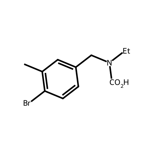 CCN(Cc1ccc(Br)c(C)c1)C(=O)O